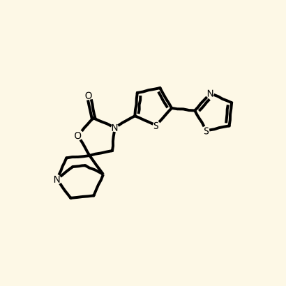 O=C1OC2(CN3CCC2CC3)CN1c1ccc(-c2nccs2)s1